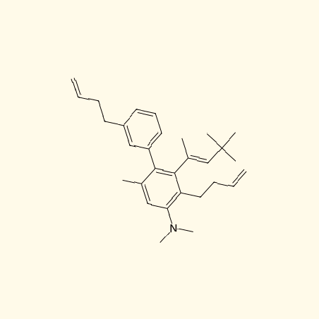 C=CCCc1cccc(-c2c(C)cc(N(C)C)c(CCC=C)c2/C(C)=C/C(C)(C)C)c1